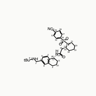 CC(C)(C)NCc1ccc2c(c1)CCC[C@H]2NC(=O)C[C@@H]1CCCCN1S(=O)(=O)c1ccc(C#N)cc1